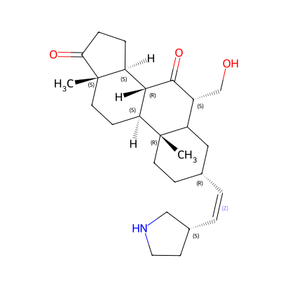 C[C@]12CC[C@@H](/C=C\[C@@H]3CCNC3)CC1[C@@H](CO)C(=O)[C@@H]1[C@@H]2CC[C@]2(C)C(=O)CC[C@@H]12